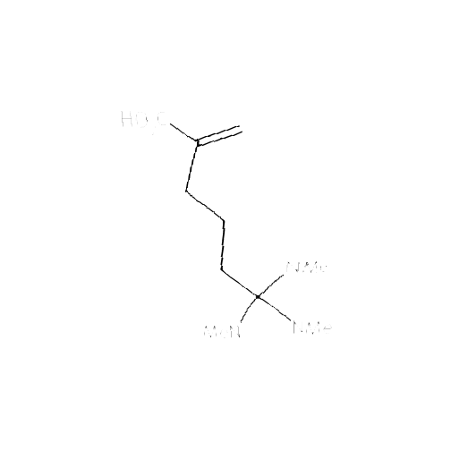 C=C(CCCC(NC)(NC)NC)C(=O)O